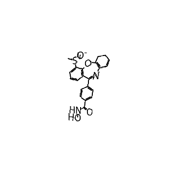 C[S+]([O-])c1cccc2c1OC1=C(C=CCC1)N=C2c1ccc(C(=O)NO)cc1